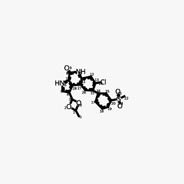 CC1OC(c2c[nH]c3c(=O)[nH]c4cc(Cl)c(-c5cccc(S(C)(=O)=O)c5)cc4c23)O1